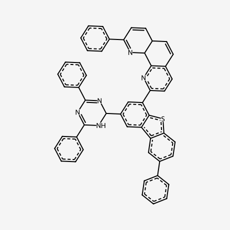 C1=CC2C=Cc3ccc(-c4cc(C5N=C(c6ccccc6)N=C(c6ccccc6)N5)cc5c4sc4ccc(-c6ccccc6)cc45)nc3C2N=C1c1ccccc1